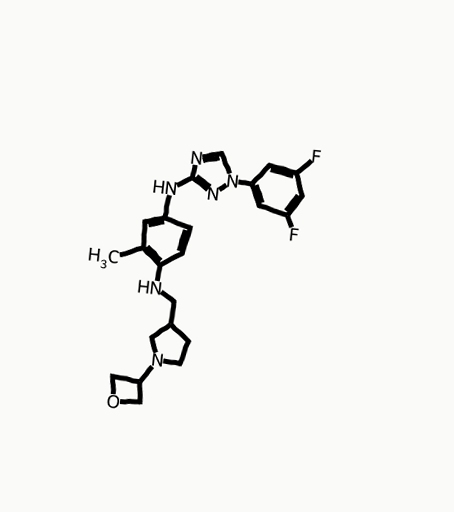 Cc1cc(Nc2ncn(-c3cc(F)cc(F)c3)n2)ccc1NCC1CCN(C2COC2)C1